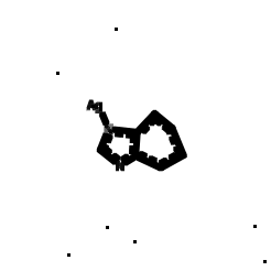 [Ag][n]1cnc2ccccc21